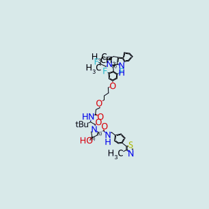 Cc1ncsc1-c1ccc(CNC(=O)[C@@H]2C[C@@H](O)CN2C(=O)C(NC(=O)CCOCCCCOc2cc(F)c([C@@H]3c4[nH]c5ccccc5c4C[C@@H](C)N3CC(C)(C)F)c(F)c2)C(C)(C)C)cc1